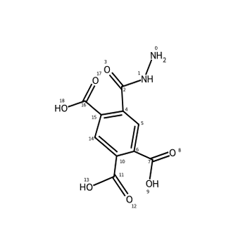 NNC(=O)c1cc(C(=O)O)c(C(=O)O)cc1C(=O)O